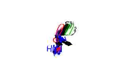 Cc1nnc(-c2ccc(-n3c(=O)c4c(n5ncc(Cc6ccccc6)c35)CN(C(=O)c3ccc(Cl)c(C(F)(F)F)c3)C(C)C4)cc2)[nH]1